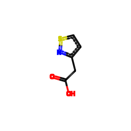 O=C(O)Cc1ccsn1